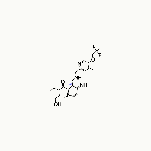 CCC(CCO)C(=O)C1/C(=C/NCc2cc(C)c(OCC(C)(F)I)cn2)C(=N)C=CN1C